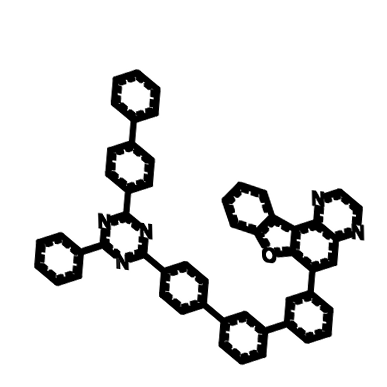 c1ccc(-c2ccc(-c3nc(-c4ccccc4)nc(-c4ccc(-c5cccc(-c6cccc(-c7cc8nccnc8c8c7oc7ccccc78)c6)c5)cc4)n3)cc2)cc1